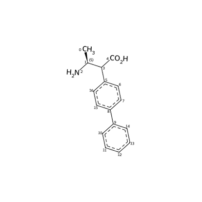 C[C@H](N)C(C(=O)O)c1ccc(-c2ccccc2)cc1